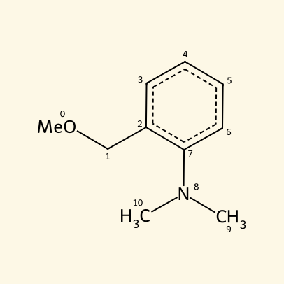 COCc1ccccc1N(C)C